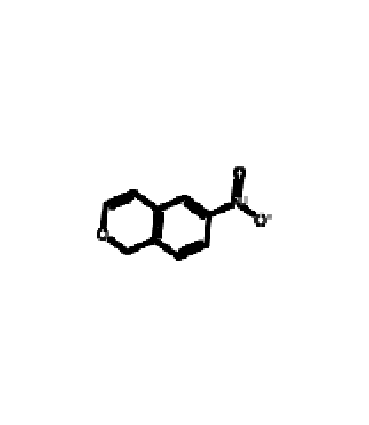 O=[N+]([O-])c1ccc2c(c1)C=COC2